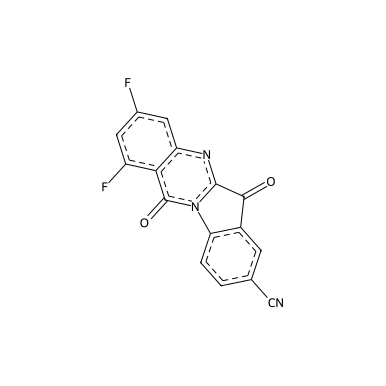 N#Cc1ccc2c(c1)C(=O)c1nc3cc(F)cc(F)c3c(=O)n1-2